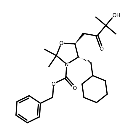 CC(C)(O)C(=O)C[C@@H]1OC(C)(C)N(C(=O)OCc2ccccc2)[C@H]1CC1CCCCC1